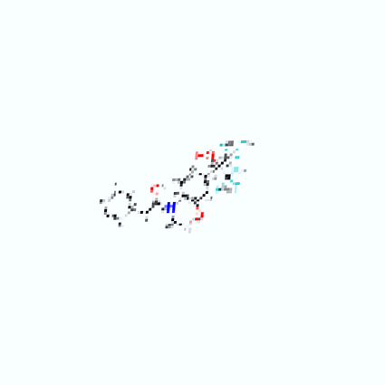 O=C(Cc1ccccc1)N1CCOc2cc(C(O)(C(F)(F)F)C(F)(F)F)ccc21